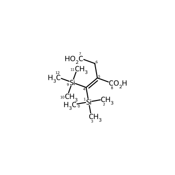 C[Si](C)(C)C(=C(CC(=O)O)C(=O)O)[Si](C)(C)C